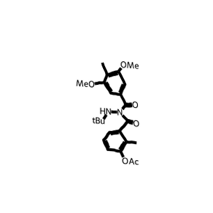 COc1cc(C(=O)N(NC(C)(C)C)C(=O)c2cccc(OC(C)=O)c2C)cc(OC)c1C